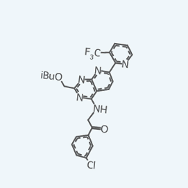 CC(C)COCc1nc(NCC(=O)c2cccc(Cl)c2)c2ccc(-c3ncccc3C(F)(F)F)nc2n1